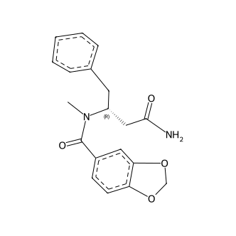 CN(C(=O)c1ccc2c(c1)OCO2)[C@@H](CC(N)=O)Cc1ccccc1